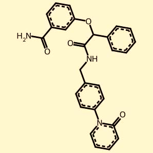 NC(=O)c1cccc(OC(C(=O)NCc2ccc(-n3ccccc3=O)cc2)c2ccccc2)c1